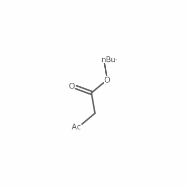 CCC[CH]OC(=O)CC(C)=O